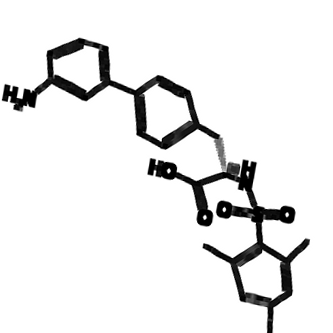 Cc1cc(C)c(S(=O)(=O)N[C@@H](Cc2ccc(-c3cccc(N)c3)cc2)C(=O)O)c(C)c1